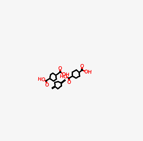 C=C1CCC(=C)CC1.O=C(O)C1CCC(C(=O)O)CC1.O=C(O)C1CCC(C(=O)O)CC1